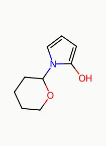 Oc1cccn1C1CCCCO1